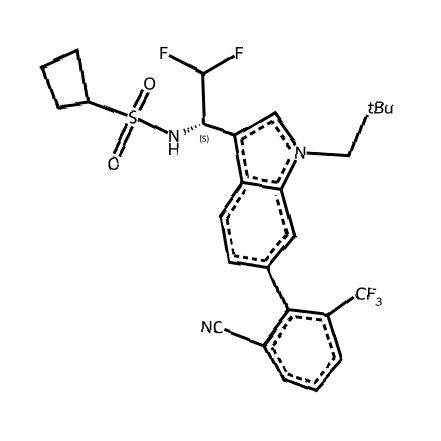 CC(C)(C)Cn1cc([C@H](NS(=O)(=O)C2CCC2)C(F)F)c2ccc(-c3c(C#N)cccc3C(F)(F)F)cc21